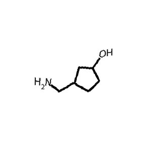 NCC1CCC(O)C1